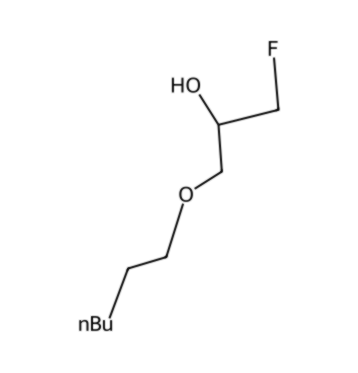 CCCCCCOCC(O)CF